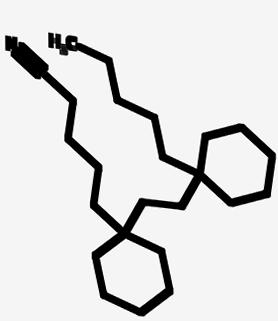 CCCCCC1(CCC2(CCCCC#N)CCCCC2)CCCCC1